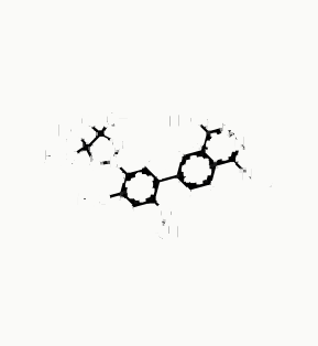 COc1cc(C)c(B2OC(C)(C)C(C)(C)O2)cc1-c1ccc2c(N)nnc(C)c2c1